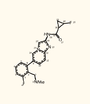 CNCc1c(F)cccc1-c1ccc2nc(NC(=O)C3CC3F)cn2c1